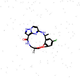 CC1Nc2ccn3ncc(c3n2)C(=O)NC[C@H]2COc3c(cc(F)cc31)O2